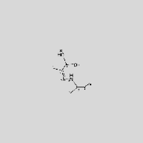 CCC(C)NN=C(C)C(=O)O